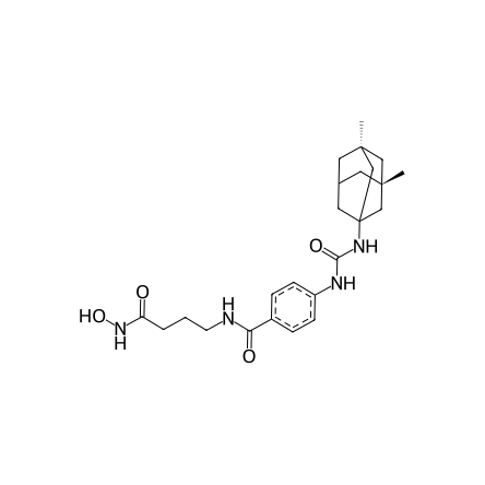 C[C@]12CC3CC(NC(=O)Nc4ccc(C(=O)NCCCC(=O)NO)cc4)(C1)C[C@@](C)(C3)C2